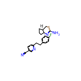 N#Cc1ccc(CCc2ccc(F)c([C@]34CCC[C@H]3CSC(N)=N4)c2)nc1